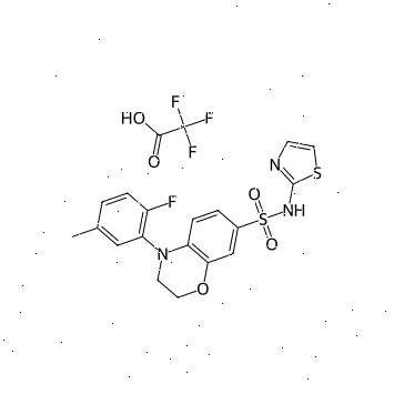 Cc1ccc(F)c(N2CCOc3cc(S(=O)(=O)Nc4nccs4)ccc32)c1.O=C(O)C(F)(F)F